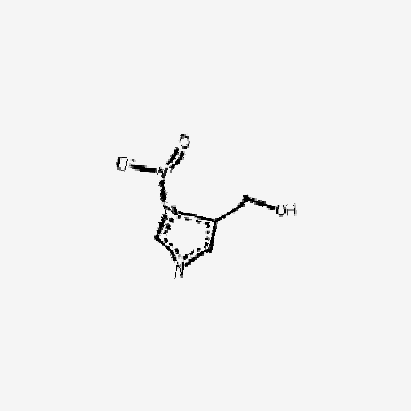 O=[N+]([O-])n1cncc1CO